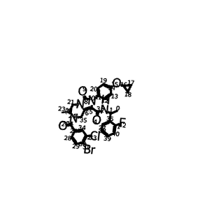 CC(NC(=O)c1c2n(c(=O)n1-c1ccc(OC3CC3)cc1)C[C@H](C)N(C(=O)c1ccc(Br)c(Cl)c1)C2)c1ccccc1F